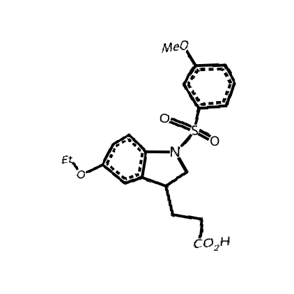 CCOc1ccc2c(c1)C(CCC(=O)O)CN2S(=O)(=O)c1cccc(OC)c1